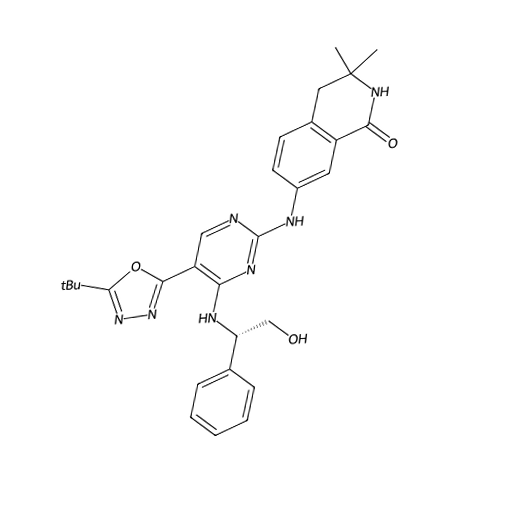 CC1(C)Cc2ccc(Nc3ncc(-c4nnc(C(C)(C)C)o4)c(N[C@H](CO)c4ccccc4)n3)cc2C(=O)N1